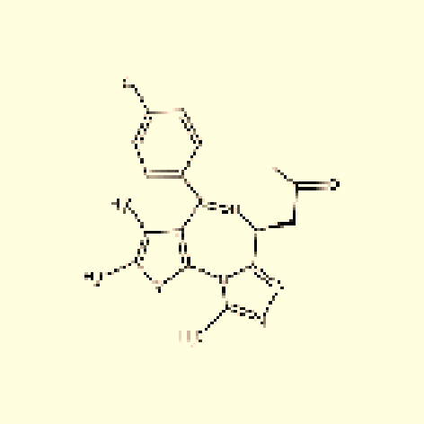 Cc1sc2c(c1C)C(c1ccc(Cl)cc1)=N[C@@H](CC(=O)I)c1nnc(C)n1-2